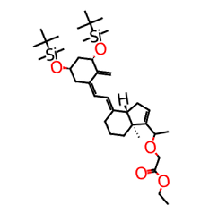 C=C1/C(=C\C=C2/CCC[C@]3(C)C(C(C)OCC(=O)OCC)=CC[C@@H]23)C[C@@H](O[Si](C)(C)C(C)(C)C)C[C@@H]1O[Si](C)(C)C(C)(C)C